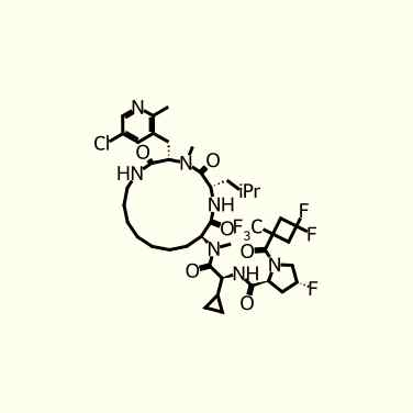 Cc1ncc(Cl)cc1C[C@H]1C(=O)NCCCCCCC[C@H](N(C)C(=O)[C@@H](NC(=O)[C@@H]2C[C@@H](F)CN2C(=O)C2(C(F)(F)F)CC(F)(F)C2)C2CC2)C(=O)N[C@@H](CC(C)C)C(=O)N1C